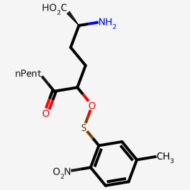 CCCCCC(=O)C(CC[C@H](N)C(=O)O)OSc1cc(C)ccc1[N+](=O)[O-]